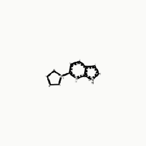 c1cc2ccc(N3CCCC3)nc2[nH]1